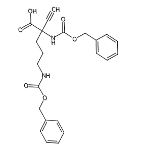 C#CC(CCCNC(=O)OCc1ccccc1)(NC(=O)OCc1ccccc1)C(=O)O